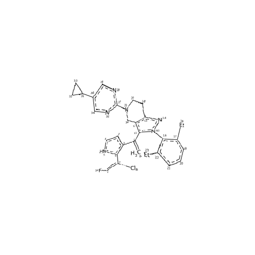 C=C(c1cc[nH]c1/C(Cl)=C\F)c1c2c(nn1-c1c(CC)cccc1CC)CCN(c1ncc(C3CC3)cn1)C2